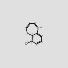 Clc1cccc2c1SC=CC=N2